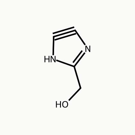 OCc1nc#c[nH]1